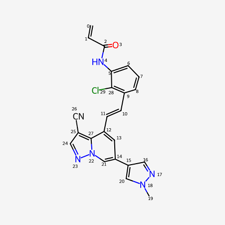 C=CC(=O)Nc1cccc(/C=C/c2cc(-c3cnn(C)c3)cn3ncc(C#N)c23)c1Cl